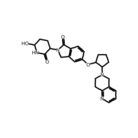 O=C1NC(O)CCC1N1Cc2cc(OC3CCCC3N3CCc4ncccc4C3)ccc2C1=O